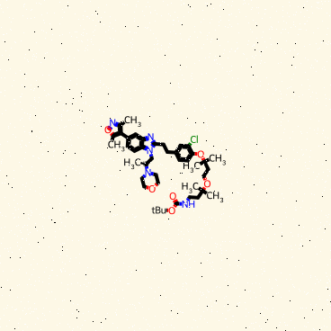 Cc1noc(C)c1-c1ccc2c(c1)nc(CCc1ccc(OC(C)(C)CCOC(C)(C)CCNC(=O)OC(C)(C)C)c(Cl)c1)n2C[C@H](C)N1CCOCC1